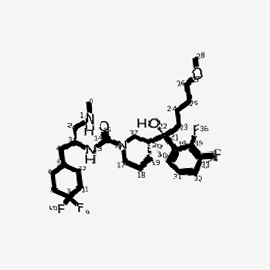 CNC[C@H](CC1CCC(F)(F)CC1)NC(=O)N1CCC[C@@H]([C@@](O)(CCCCOC)c2cccc(F)c2F)C1